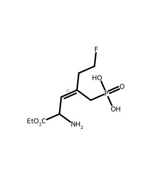 CCOC(=O)C(N)/C=C(/CCF)CP(=O)(O)O